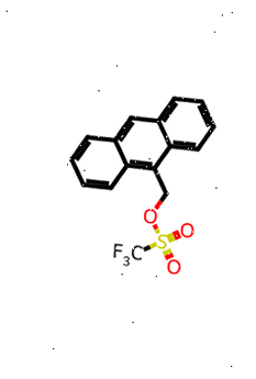 O=S(=O)(OCc1c2ccccc2cc2ccccc12)C(F)(F)F